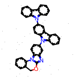 c1ccc2c(c1)COc1nc3cc(-n4c5ccccc5c5cc(-n6c7ccccc7c7ccccc76)ccc54)ccc3n1-2